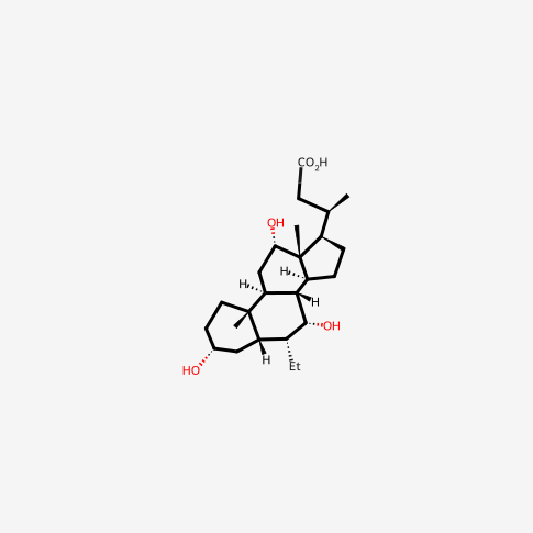 CC[C@H]1[C@@H](O)[C@@H]2[C@H](C[C@H](O)[C@]3(C)[C@@H]([C@H](C)CC(=O)O)CC[C@@H]23)[C@@]2(C)CC[C@@H](O)C[C@@H]12